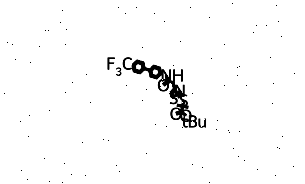 CC(C)(C)OC(=O)C(C)(C)Sc1nc(CC(=O)Nc2ccc(-c3ccc(C(F)(F)F)cc3)cc2)cs1